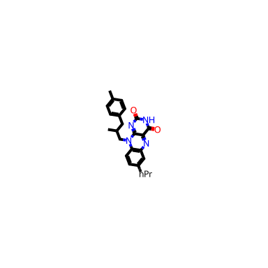 CCCc1ccc2c(c1)nc1c(=O)[nH]c(=O)nc-1n2CC(C)Cc1ccc(C)cc1